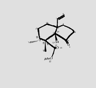 C=CC12CCC(=O)[C@@H]1[C@](C)(C(=O)OC)[C@H](C)CC2